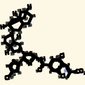 C/C(=C\c1c(Cl)cc(C(=O)Nc2nc(-c3cc(Cl)cs3)c(N3C[C@H]4CCN(C5CC6CC[C@H]7C[C@@H]6C[C@@H]5C7)[C@H]4C3)s2)cc1Cl)C(=O)O